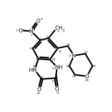 Cc1c([N+](=O)[O-])cc2[nH]c(=O)c(=O)[nH]c2c1CN1CCOCC1